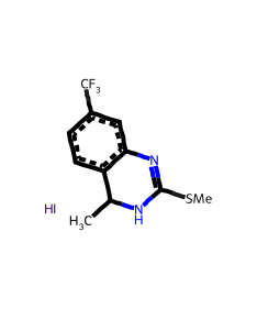 CSC1=Nc2cc(C(F)(F)F)ccc2C(C)N1.I